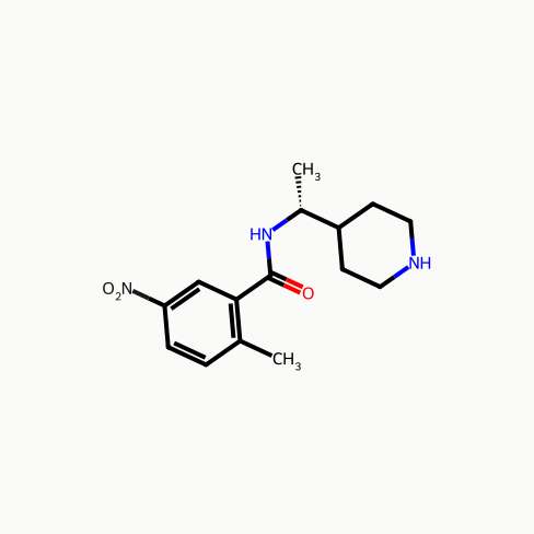 Cc1ccc([N+](=O)[O-])cc1C(=O)N[C@H](C)C1CCNCC1